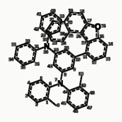 Cc1ccccc1N(c1cc(-c2cccc3oc4ccc5ccccc5c4c23)cc(N(c2ccccc2)c2ccccc2)c1)c1ccccc1C